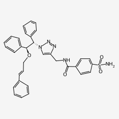 NS(=O)(=O)c1ccc(C(=O)NCc2cn([C@@H](c3ccccc3)[C@@H](OC/C=C/c3ccccc3)c3ccccc3)nn2)cc1